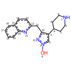 On1cc(C2CCNCC2)c(Cc2ccc3ccccc3n2)n1